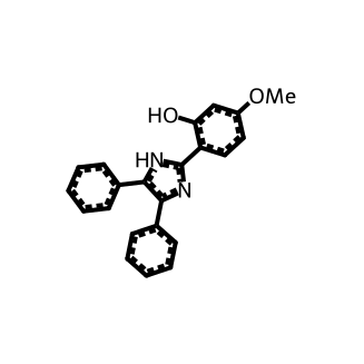 COc1ccc(-c2nc(-c3ccccc3)c(-c3ccccc3)[nH]2)c(O)c1